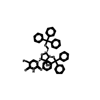 CC(C)c1cn([C@@H]2O[C@H](COC(c3ccccc3)(c3ccccc3)c3ccccc3)[C@@H](OC(c3ccccc3)(c3ccccc3)c3ccccc3)[C@H]2O)c(=O)[nH]c1=O